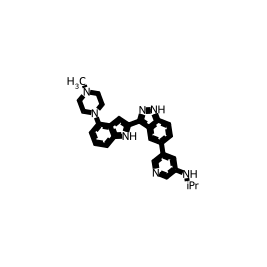 CC(C)Nc1cncc(-c2ccc3[nH]nc(-c4cc5c(N6CCN(C)CC6)cccc5[nH]4)c3c2)c1